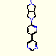 CN1CC2CN(c3ccc(-c4cncnc4)cn3)CC2C1